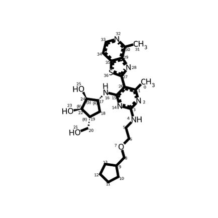 Cc1nc(NCCOCC2CCCC2)nc(N[C@@H]2C[C@H](CO)[C@@H](O)[C@H]2O)c1-c1nc2c(C)nccc2s1